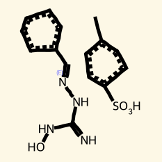 Cc1ccc(S(=O)(=O)O)cc1.N=C(NO)N/N=C/c1ccccc1